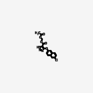 CC(=O)OCOC(=O)c1[nH]nnc1Oc1ccc2cc(Cl)ccc2c1